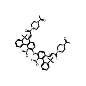 CC(=O)N1CCN(C(=O)/C=C/c2ccc(Sc3ccc(/C=C/C(=O)N4CCN(C(C)=O)CC4)c(-c4ccccc4C(C)(C)C)c3[N+](=O)[O-])c([N+](=O)[O-])c2-c2ccccc2C(C)(C)C)CC1